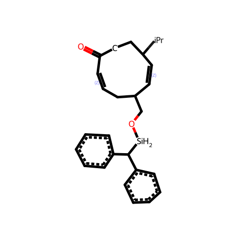 CC(C)C1/C=C\C(CO[SiH2]C(c2ccccc2)c2ccccc2)C/C=C\C(=O)CC1